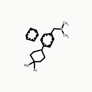 CC(=O)C1(O)CCC(c2ccc(CN(C)C)cc2)CC1.c1ccccc1